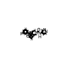 O=C(Nc1ccnnc1)N1CCC(F)(C2(S(=O)(=O)c3cccc(F)c3)CCC2)CC1